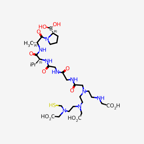 CC(C)[C@H](NC(=O)CNC(=O)CNC(=O)CN(CCNCC(=O)O)CCN(CCN(CS)CC(=O)O)CC(=O)O)C(=O)N[C@H](C)C(=O)N1CCC[C@H]1B(O)O